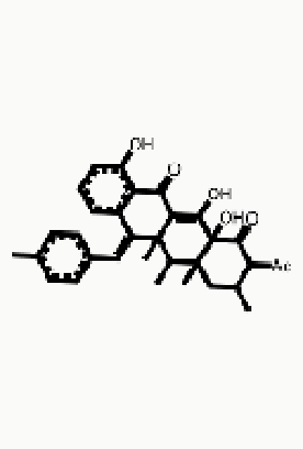 CC(=O)C1C(=O)C2(O)C(O)=C3C(=O)c4c(O)cccc4/C(=C\c4ccc(C)cc4)C3(C)C(C)C2(C)CC1C